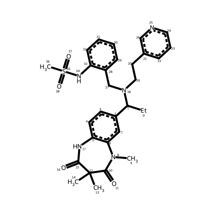 CCC(c1ccc2c(c1)N(C)C(=O)C(C)(C)C(=O)N2)N(CCc1cccnc1)Cc1ccccc1NS(C)(=O)=O